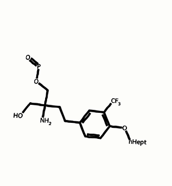 CCCCCCCOc1ccc(CCC(N)(CO)COP=O)cc1C(F)(F)F